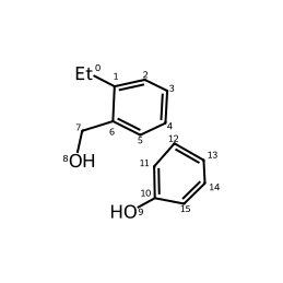 CCc1ccccc1CO.Oc1ccccc1